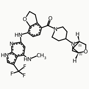 CNc1cc(Nc2ccc(C(=O)N3CCC(N4C[C@@H]5C[C@H]4CO5)CC3)c3c2OCC3)nc2[nH]cc(C(F)(F)F)c12